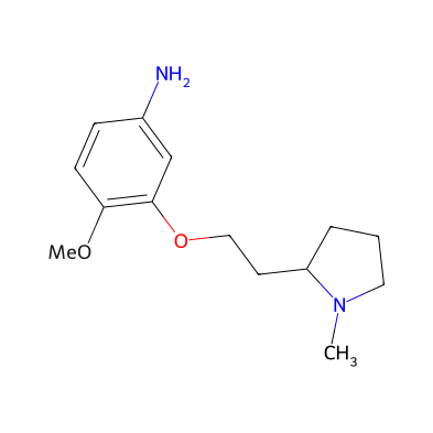 COc1ccc(N)cc1OCCC1CCCN1C